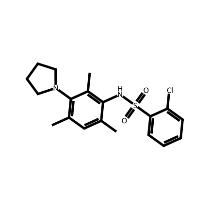 Cc1cc(C)c(N2CCCC2)c(C)c1NS(=O)(=O)c1ccccc1Cl